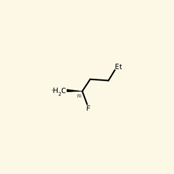 [CH2][C@H](F)CCCC